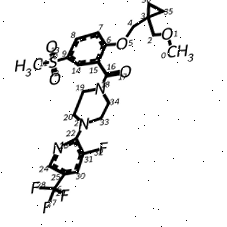 COCC1(COc2ccc(S(C)(=O)=O)cc2C(=O)N2CCN(c3ncc(C(F)(F)F)cc3F)CC2)CC1